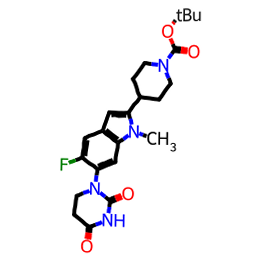 Cn1c(C2CCN(C(=O)OC(C)(C)C)CC2)cc2cc(F)c(N3CCC(=O)NC3=O)cc21